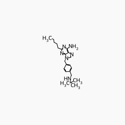 CCCCCc1nc(N)c2ncn(Cc3ccc(CNC(C)(C)C)cc3)c2n1